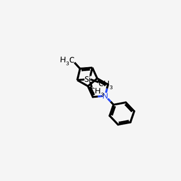 CC1=C2c3cn(-c4ccccc4)cc3C1[Si]2(C)C